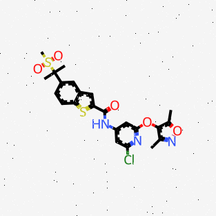 Cc1noc(C)c1Oc1cc(NC(=O)c2cc3cc(C(C)(C)S(C)(=O)=O)ccc3s2)cc(Cl)n1